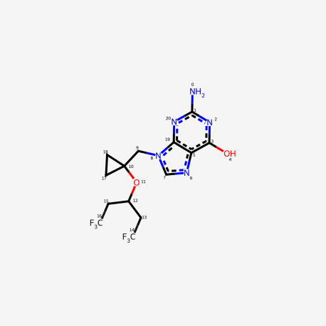 Nc1nc(O)c2ncn(CC3(OC(CC(F)(F)F)CC(F)(F)F)CC3)c2n1